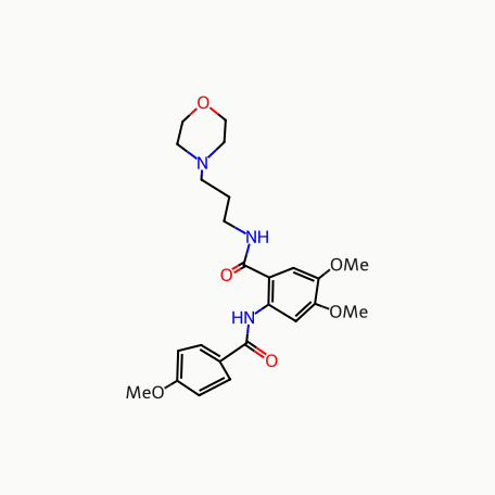 COc1ccc(C(=O)Nc2cc(OC)c(OC)cc2C(=O)NCCCN2CCOCC2)cc1